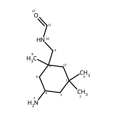 CC1(C)CC(N)CC(C)(CNC=O)C1